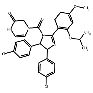 COC1=CC(OC(C)C)=C(C2=NC(c3ccc(Cl)cc3)C(c3ccc(Cl)cc3)N2C(=O)N2C=CNC(=O)C2)CC1